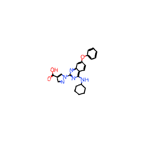 O=C(O)c1cnn(-c2nc(NC3CCCCC3)c3ccc(Oc4ccccc4)cc3n2)c1